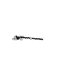 CCCCCCCCCCCCCCCCCCCCCC(=O)Nc1ccc(O)c(C(C)=O)c1